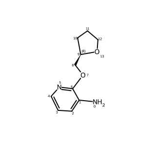 Nc1cccnc1OC[C@H]1CCCO1